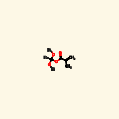 C=C(C)C(=O)OC(CC)(OCC)OCC